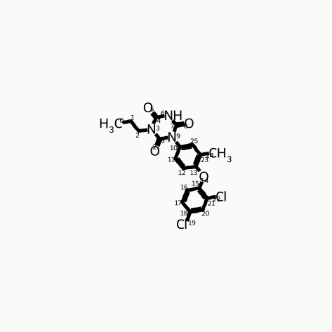 CCCn1c(=O)[nH]c(=O)n(-c2ccc(Oc3ccc(Cl)cc3Cl)c(C)c2)c1=O